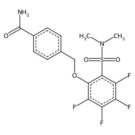 CN(C)S(=O)(=O)c1c(F)c(F)c(F)c(F)c1OCc1ccc(C(N)=O)cc1